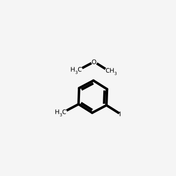 COC.Cc1cccc(I)c1